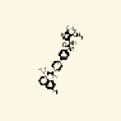 Cc1noc(NS(=O)(=O)c2ccc(N3CCN(C(=O)C(C)N4CCCc5cc(Cl)ccc54)CC3)cc2)c1C